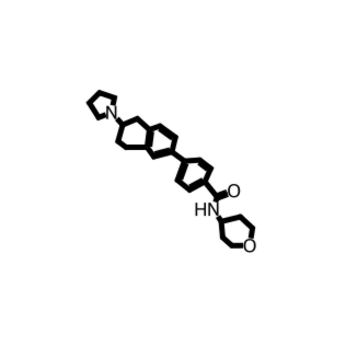 O=C(NC1CCOCC1)c1ccc(-c2ccc3c(c2)CCC(N2CCCC2)C3)cc1